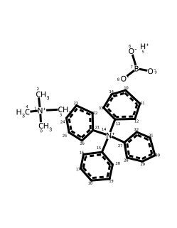 C[N+](C)(C)C.[H+].[O-]B([O-])[O-].c1ccc([N+](c2ccccc2)(c2ccccc2)c2ccccc2)cc1